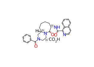 O=C(N[C@H]1CCCC[C@H]2CN(C(=O)c3ccccc3)C[C@@H](C(=O)O)N2C1=O)c1nccc2ccccc12